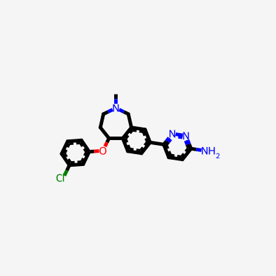 CN1CCC(Oc2cccc(Cl)c2)c2ccc(-c3ccc(N)nn3)cc2C1